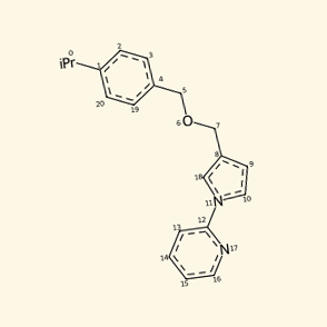 CC(C)c1ccc(COCc2ccn(-c3ccccn3)c2)cc1